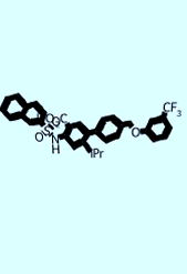 CC(C)c1cc(NS(=O)(=O)c2ccc3ccccc3c2)c(C(=O)O)cc1-c1ccc(COc2cccc(C(F)(F)F)c2)cc1